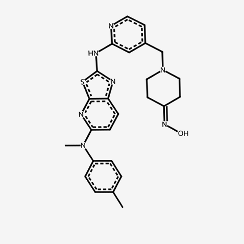 Cc1ccc(N(C)c2ccc3nc(Nc4cc(CN5CCC(=NO)CC5)ccn4)sc3n2)cc1